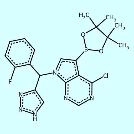 CC1(C)OB(c2cn(C(c3c[nH]nn3)c3ccccc3F)c3ncnc(Cl)c23)OC1(C)C